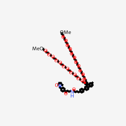 C=C1C=CC(=O)N1CC1CCC(C(=O)CCCNC(=O)CCCc2ccc(-c3ccc4c(c3)C(CCCOCCOCCOCCOCCOCCOCCOCCOCCOCCOCCOCCOC)(CCCOCCOCCOCCOCCOCCOCCOCCOCCOCCOCCOCCOC)c3cc(C)ccc3-4)cc2)CC1